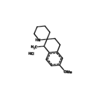 COc1ccc2c(c1)CCC1(CCCCN1)C2C.Cl